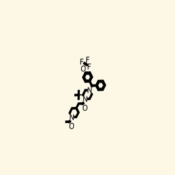 CC(=O)N1CCC(CC(=O)N2CCN(C(c3ccccc3)c3ccc(OC(F)(F)F)cc3)C[C@@H]2C(C)(C)C)CC1